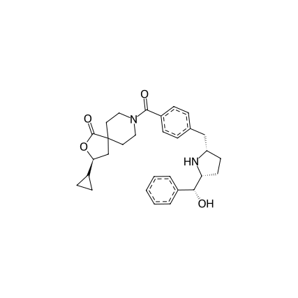 O=C(c1ccc(C[C@@H]2CC[C@H]([C@H](O)c3ccccc3)N2)cc1)N1CCC2(CC1)C[C@@H](C1CC1)OC2=O